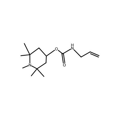 C=CCNC(=O)OC1CC(C)(C)N(C)C(C)(C)C1